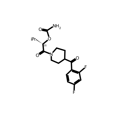 CC(C)[C@H](OC(N)=O)C(=O)N1CCC(C(=O)c2ccc(F)cc2F)CC1